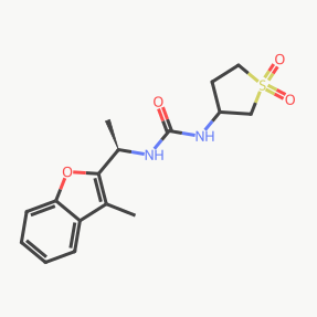 Cc1c([C@@H](C)NC(=O)NC2CCS(=O)(=O)C2)oc2ccccc12